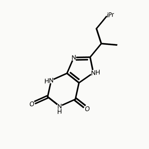 CC(C)CC(C)c1nc2[nH]c(=O)[nH]c(=O)c2[nH]1